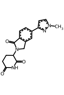 Cn1ccc(-c2ccc3c(c2)CN(C2CCC(=O)NC2=O)C3=O)n1